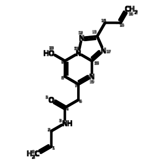 C=CCNC(=O)Cc1cc(O)n2nc(CC=C)nc2n1